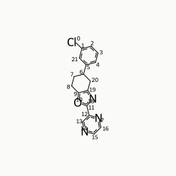 Clc1cccc(C2CCc3oc(-c4cnccn4)nc3C2)c1